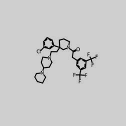 O=C(Cc1cc(C(F)(F)F)cc(C(F)(F)F)c1)N1CCCC(CCN2CCC(N3CCCCC3)CC2)(c2cccc(Cl)c2)C1